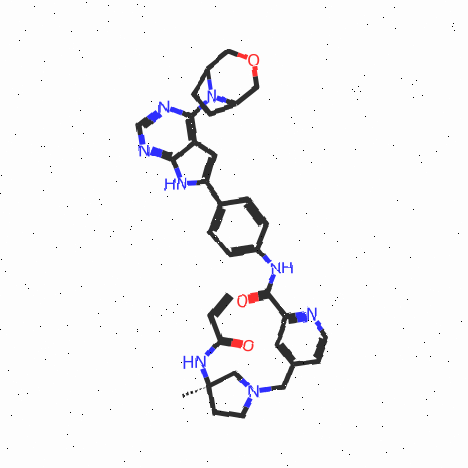 C=CC(=O)N[C@]1(C)CCN(Cc2ccnc(C(=O)Nc3ccc(-c4cc5c(N6C7CCC6COC7)ncnc5[nH]4)cc3)c2)C1